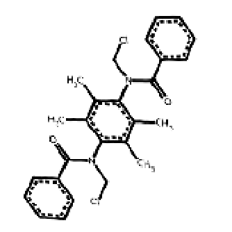 Cc1c(C)c(N(CCl)C(=O)c2ccccc2)c(C)c(C)c1N(CCl)C(=O)c1ccccc1